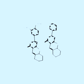 COc1ccc(-c2cc3c(c(=O)o2)C=C2CCCCC2O3)cc1OC.O=c1oc(-c2cccnc2)cc2c1C=C1CCCCC1O2